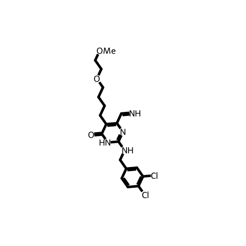 COCCOCCCCc1c(C=N)nc(NCc2ccc(Cl)c(Cl)c2)[nH]c1=O